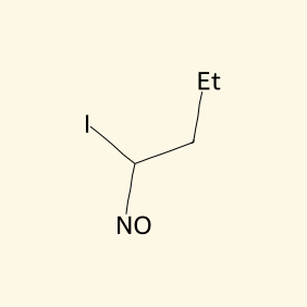 CCCC(I)N=O